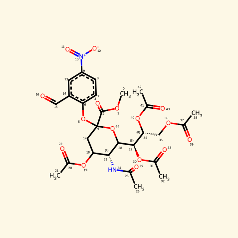 COC(=O)C1(Oc2ccc([N+](=O)[O-])cc2C=O)CC(OC(C)=O)[C@@H](NC(C)=O)C([C@H](OC(C)=O)[C@@H](COC(C)=O)OC(C)=O)O1